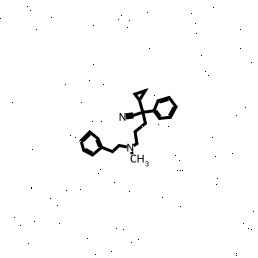 CN(CCCC(C#N)(c1ccccc1)C1CC1)CCc1ccccc1